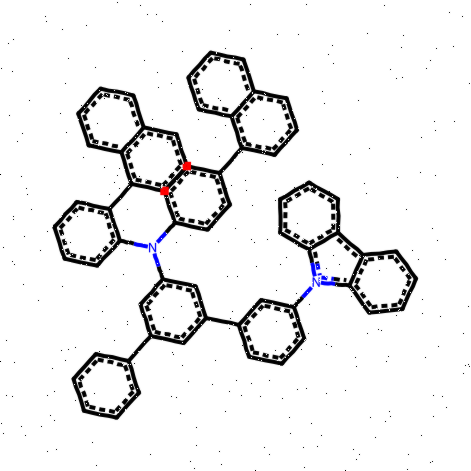 c1ccc(-c2cc(-c3cccc(-n4c5ccccc5c5ccccc54)c3)cc(N(c3ccc(-c4cccc5ccccc45)cc3)c3ccccc3-c3cccc4ccccc34)c2)cc1